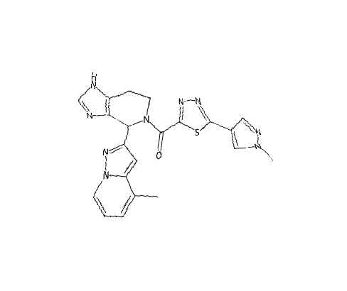 Cc1cccn2nc(C3c4nc[nH]c4CCN3C(=O)c3nnc(-c4cnn(C)c4)s3)cc12